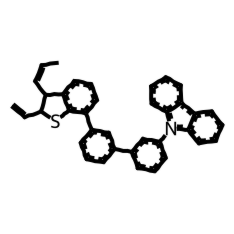 C=CC1Sc2c(-c3cccc(-c4cccc(-n5c6ccccc6c6ccccc65)c4)c3)cccc2C1/C=C\C